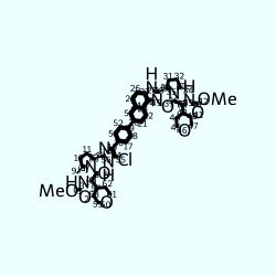 COC(=O)N[C@H](C(=O)N1[C@@H](C)CC[C@H]1c1nc(-c2ccc(-c3ccc4c(ccc5[nH]c([C@@H]6CC[C@H](C)N6C(=O)[C@@H](NC(=O)OC)C6CCOCC6)nc54)c3)cc2)c(Cl)[nH]1)C1CCOCC1